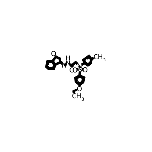 CCOc1ccc(S(=O)(=O)N(CC(=O)NN=C2CC(=O)c3ccccc32)c2ccc(C)cc2)cc1